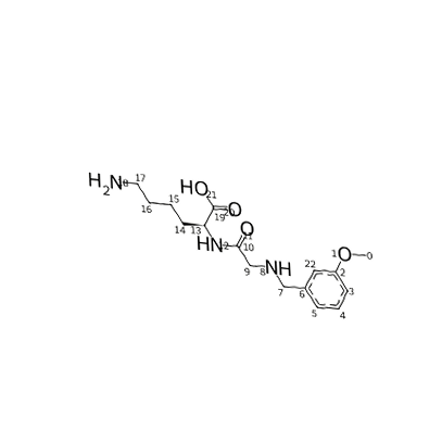 COc1cccc(CNCC(=O)N[C@@H](CCCCN)C(=O)O)c1